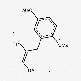 COc1ccc(OC)c(C/C(C)=C\OC(C)=O)c1